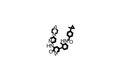 Cc1c(NC(=O)c2ccc(C3(C)CC3)cc2)cccc1-c1cc(Nc2ccc(N3CCN(C)CC3)cn2)c(=O)n(C)c1